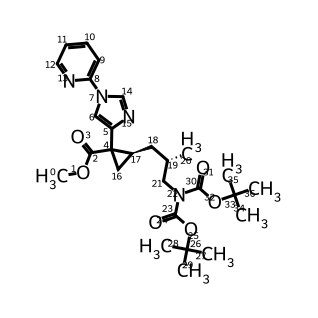 COC(=O)C1(c2cn(-c3ccccn3)cn2)C[C@@H]1C[C@H](C)CN(C(=O)OC(C)(C)C)C(=O)OC(C)(C)C